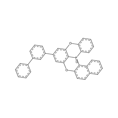 O=P12c3ccccc3Oc3cc(-c4cccc(-c5ccccc5)c4)cc(c31)Oc1ccc3ccccc3c12